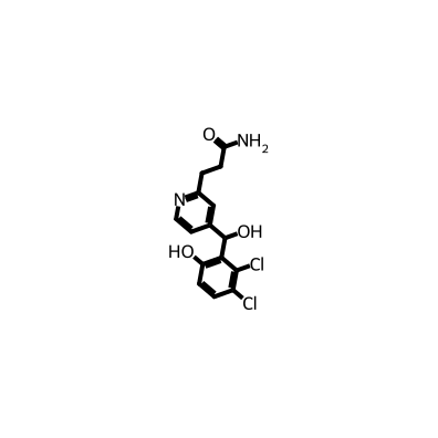 NC(=O)CCc1cc(C(O)c2c(O)ccc(Cl)c2Cl)ccn1